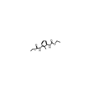 CCOC(=O)Nc1cccc(NC(=O)OCC)c1C